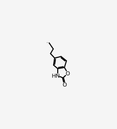 [CH2]CCc1ccc2oc(=O)[nH]c2c1